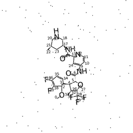 COc1c([C@H]2[C@H](C(=O)Nc3ccnc(C(=O)N[C@@H]4CNC[C@H](C)C4)c3)O[C@@](C)(C(F)(F)F)[C@H]2C)ccc(F)c1F